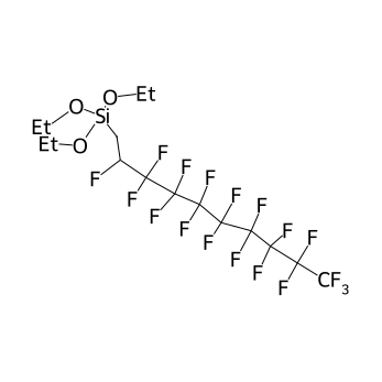 CCO[Si](CC(F)C(F)(F)C(F)(F)C(F)(F)C(F)(F)C(F)(F)C(F)(F)C(F)(F)C(F)(F)F)(OCC)OCC